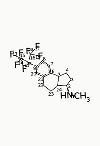 CN[C@@H]1CCC2c3ccc(C(F)(C(F)(F)F)C(F)(F)F)cc3CCC21